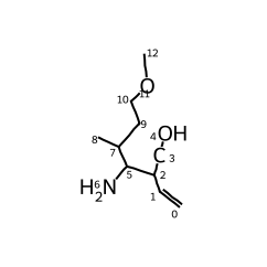 C=CC(CO)C(N)C(C)CCOC